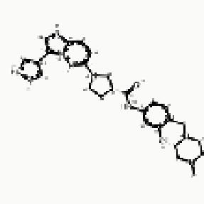 CN1CCN(Cc2ccc(NC(=O)[C@@H]3CCN(c4ccc5ncc(-c6cn[nH]c6)n5n4)C3)cc2C(F)(F)F)CC1